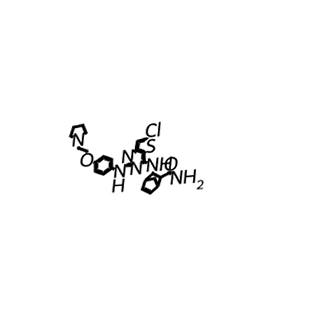 NC(=O)C1C2C=CC(C2)[C@H]1Nc1nc(Nc2ccc(OCCN3CCCC3)cc2)nc2cc(Cl)sc12